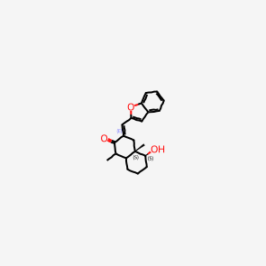 CC1C(=O)/C(=C/c2cc3ccccc3o2)C[C@@]2(C)C1CCC[C@@H]2O